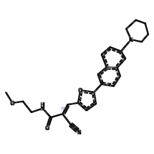 COCCNC(=O)/C(C#N)=C/c1ccc(-c2ccc3cc(N4CCCCC4)ccc3c2)o1